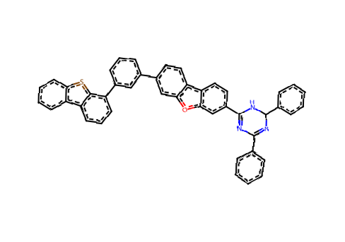 c1ccc(C2=NC(c3ccccc3)NC(c3ccc4c(c3)oc3cc(-c5cccc(-c6cccc7c6sc6ccccc67)c5)ccc34)=N2)cc1